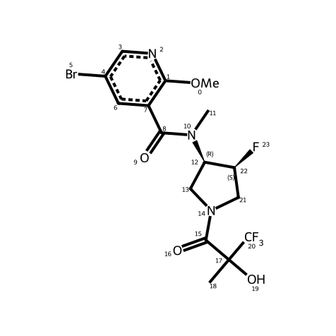 COc1ncc(Br)cc1C(=O)N(C)[C@@H]1CN(C(=O)C(C)(O)C(F)(F)F)C[C@@H]1F